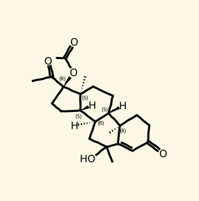 CC(=O)O[C@]1(C(C)=O)CC[C@H]2[C@@H]3CC(C)(O)C4=CC(=O)CC[C@]4(C)[C@H]3CC[C@@]21C